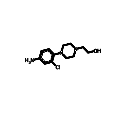 Nc1ccc(N2CCN(CCO)CC2)c(Cl)c1